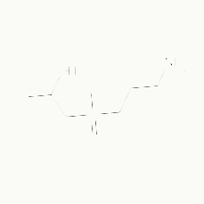 CCC(O)CP(=O)(O)CCCN